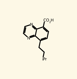 CC(C)CCc1ccc(C(=O)O)c2nccnc12